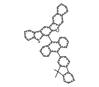 CC1(C)c2ccccc2-c2ccc(-c3c4ccccc4c(-c4c5oc6cc7ccccc7cc6c5cc5c4sc4ccccc45)c4ccccc34)cc21